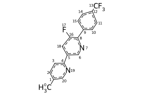 Cc1ccc(-c2cnc(-c3ccc(C(F)(F)F)cc3)c(F)c2)nc1